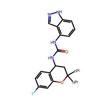 CCCC1(CCC)CC(NC(=O)Nc2cccc3[nH]ncc23)c2ccc(F)cc2O1